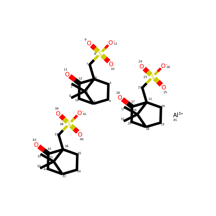 CC1(C)C2CCC1(CS(=O)(=O)[O-])C(=O)C2.CC1(C)C2CCC1(CS(=O)(=O)[O-])C(=O)C2.CC1(C)C2CCC1(CS(=O)(=O)[O-])C(=O)C2.[Al+3]